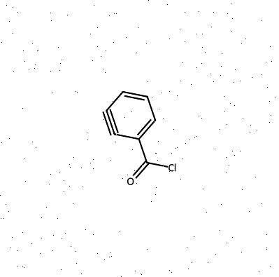 O=C(Cl)c1c#cccc1